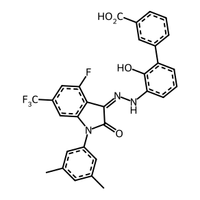 Cc1cc(C)cc(N2C(=O)C(=NNc3cccc(-c4cccc(C(=O)O)c4)c3O)c3c(F)cc(C(F)(F)F)cc32)c1